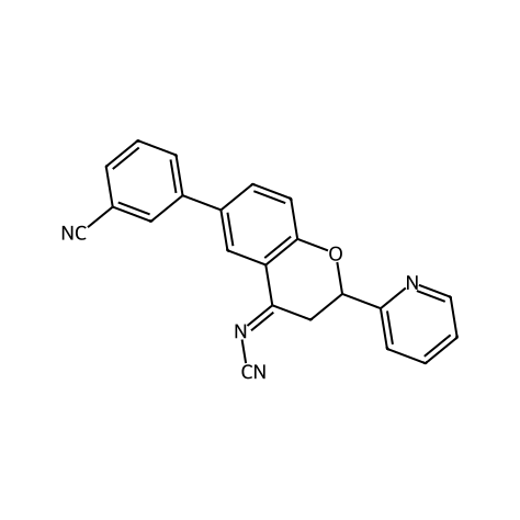 N#CN=C1CC(c2ccccn2)Oc2ccc(-c3cccc(C#N)c3)cc21